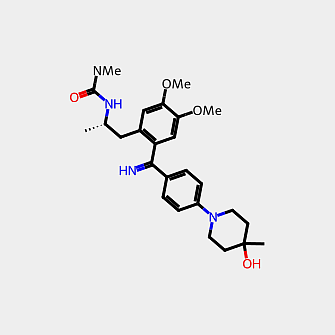 CNC(=O)N[C@@H](C)Cc1cc(OC)c(OC)cc1C(=N)c1ccc(N2CCC(C)(O)CC2)cc1